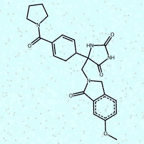 COc1ccc2c(c1)C(=O)N(CC1(C3C=CC(C(=O)N4CCCC4)=CC3)NC(=O)NC1=O)C2